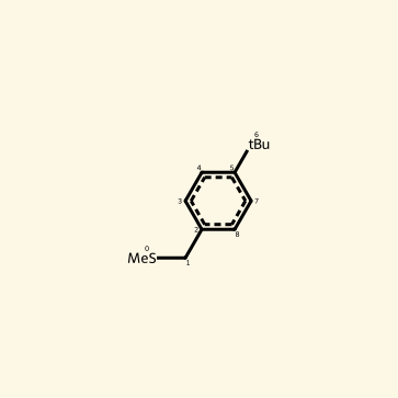 [CH]SCc1ccc(C(C)(C)C)cc1